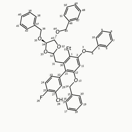 CCc1c(OCc2ccccc2)cc(OCc2ccccc2)c(-c2ccc(F)c(C)c2)c1CC1O[C@@H](OCc2ccccc2)[C@H](OCc2ccccc2)O1